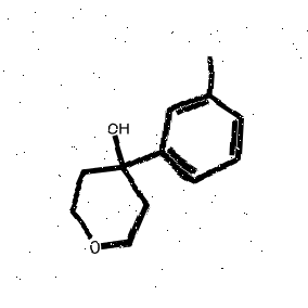 Cc1cccc(C2(O)CCOCC2)c1